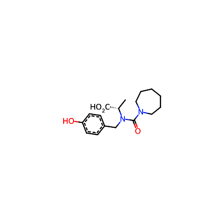 C[C@@H](C(=O)O)N(Cc1ccc(O)cc1)C(=O)N1CCCCCC1